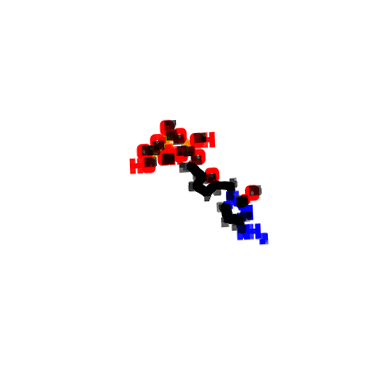 Nc1ccn(CC2CCC(COP(=O)(O)OP(=O)(O)OP(=O)(O)O)O2)c(=O)n1